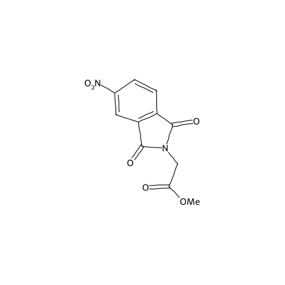 COC(=O)CN1C(=O)c2ccc([N+](=O)[O-])cc2C1=O